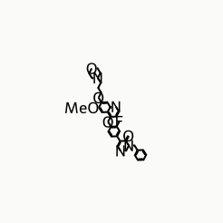 COc1cc2c(Oc3ccc(-c4cncn(Cc5ccccc5)c4=O)cc3F)ccnc2cc1OCCCN1CCOCC1